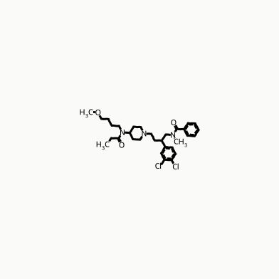 CCC(=O)N(CCCCOC)C1CCN(CCC(CN(C)C(=O)c2ccccc2)c2ccc(Cl)c(Cl)c2)CC1